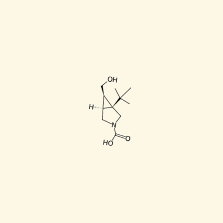 CC(C)(C)[C@@]12CN(C(=O)O)C[C@H]1[C@H]2CO